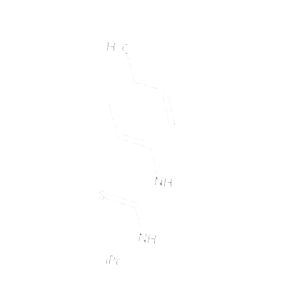 Cc1ccc(NC(=S)NC(C)C)cc1